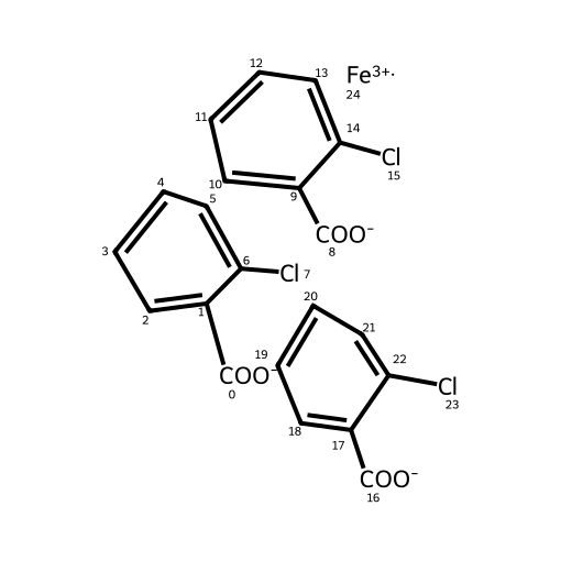 O=C([O-])c1ccccc1Cl.O=C([O-])c1ccccc1Cl.O=C([O-])c1ccccc1Cl.[Fe+3]